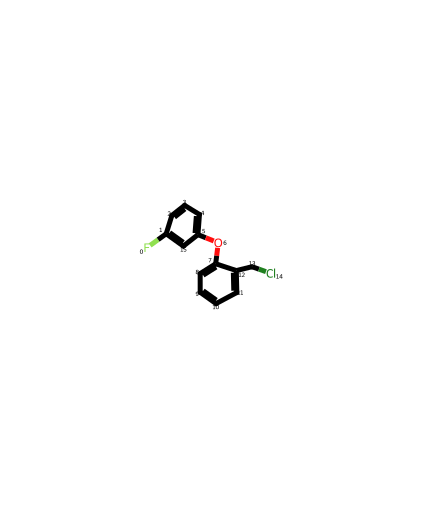 Fc1cccc(Oc2ccccc2CCl)c1